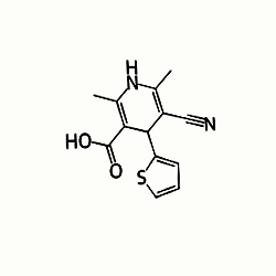 CC1=C(C#N)C(c2cccs2)C(C(=O)O)=C(C)N1